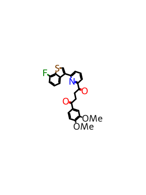 COc1ccc(C(=O)CCC(=O)c2cccc(-c3csc4c(F)cccc34)n2)cc1OC